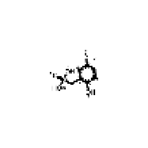 Nc1ccc(O)c(CP(=O)(O)O)c1